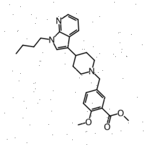 CCCCn1cc(C2CCN(Cc3ccc(OC)c(C(=O)OC)c3)CC2)c2cccnc21